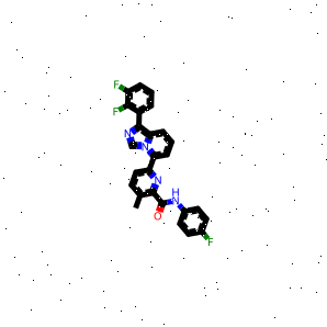 Cc1ccc(-c2cccc3c(-c4cccc(F)c4F)ncn23)nc1C(=O)Nc1ccc(F)cc1